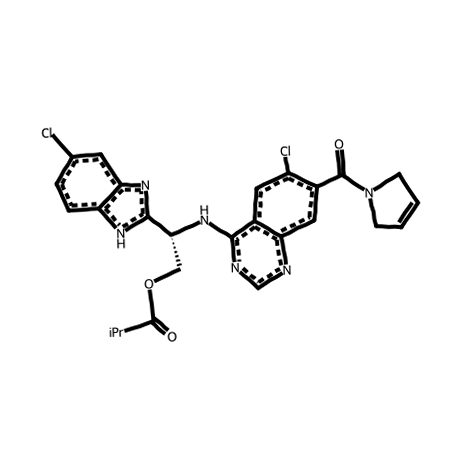 CC(C)C(=O)OC[C@@H](Nc1ncnc2cc(C(=O)N3CC=CC3)c(Cl)cc12)c1nc2cc(Cl)ccc2[nH]1